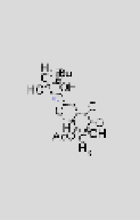 CC[C@H](C)[C@@H](O)C(C)(O)/C=C/C1=CC2=C(Cl)C(=O)[C@](C)(O)[C@H](OC(C)=O)[C@H]2CO1